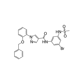 CS(=O)(=O)Nc1cc(Br)cc(NC(=O)c2cnn(-c3ccccc3OCc3ccccc3)c2)c1